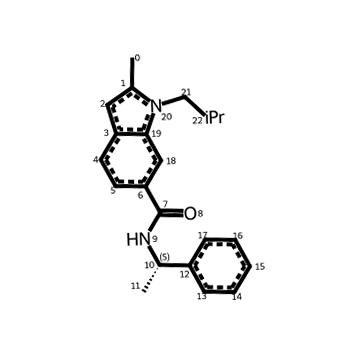 Cc1cc2ccc(C(=O)N[C@@H](C)c3ccccc3)cc2n1CC(C)C